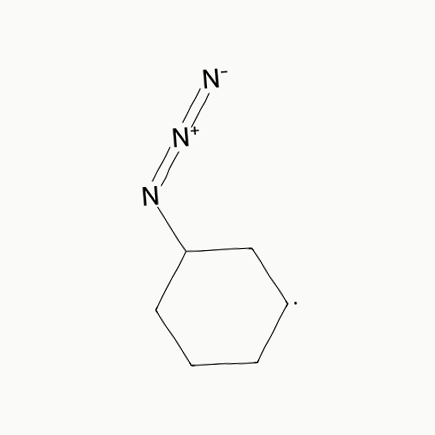 [N-]=[N+]=NC1C[CH]CCC1